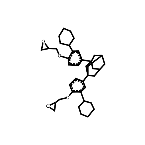 c1cc(OCC2CO2)c(C2CCCCC2)cc1C12CC3CC(C1)CC(c1ccc(OCC4CO4)c(C4CCCCC4)c1)(C3)C2